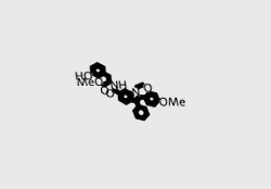 COC(=O)C(Cc1cccc(O)c1)NC(=O)c1ccc2c(C3CCCCC3)c3n(c2c1)CCOc1cc(OC)ccc1-3